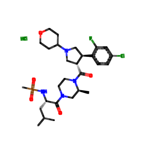 CC(C)C[C@H](NS(C)(=O)=O)C(=O)N1CCN(C(=O)[C@@H]2CN(C3CCOCC3)C[C@H]2c2ccc(Cl)cc2F)[C@@H](C)C1.Cl